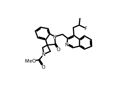 COC(=O)N1CC2(C1)C(=O)N(Cc1ncc3ccccc3c1CC(C)F)c1ccccc12